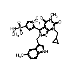 CNS(=O)(=O)c1cc(-c2c3c(=O)n(C)c(=O)n(CC4CC4)c3nn2Cc2c[nH]c3ccc(C)cc23)n(C)c1